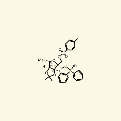 CO[C@@H]1O[C@@](CO[Si](c2ccccc2)(c2ccccc2)C(C)(C)C)(COS(=O)(=O)c2ccc(C)cc2)[C@H]2OC(C)(C)O[C@@H]12